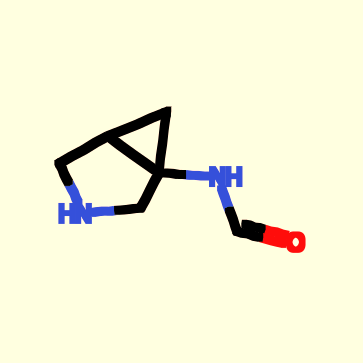 O=CNC12CNCC1C2